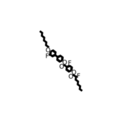 CCCCCCCCOc1ccc(-c2ccc(OC(=O)c3ccc(OC(=O)C(F)CCCCCC)cc3F)cc2)cc1F